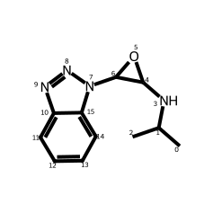 CC(C)NC1OC1n1nnc2ccccc21